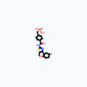 O=C(Nc1nc2c(s1)COc1ccc(F)cc1-2)c1ccc(CP(=O)(O)O)cc1